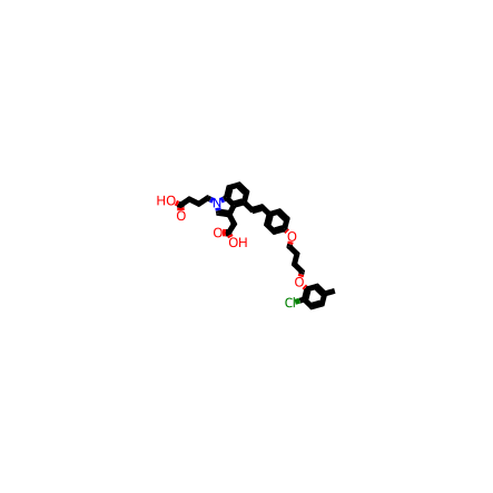 Cc1ccc(Cl)c(OCCCCOc2ccc(/C=C/c3cccc4c3c(CC(=O)O)cn4CCCC(=O)O)cc2)c1